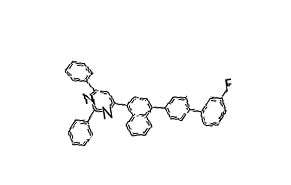 Fc1cccc(-c2ccc(-c3ccc(-c4cc(-c5ccccc5)nc(-c5ccccc5)n4)c4ccccc34)cc2)c1